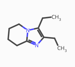 CCc1nc2n(c1CC)CCCC2